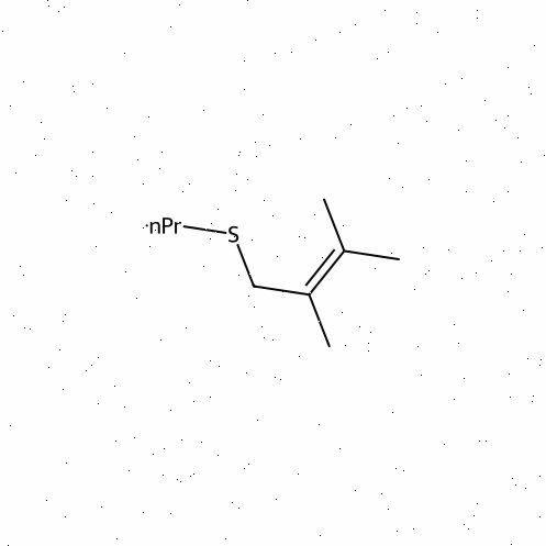 CC[CH]SCC(C)=C(C)C